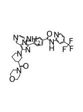 N[N+]12C=CN=CC1=C(N1CCCC(C(=O)N3CCOCC3)C1)N=C2c1ccc(C(=O)Nc2cc(C(F)(F)F)ccn2)cc1